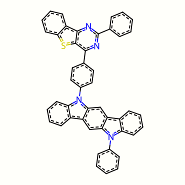 c1ccc(-c2nc(-c3ccc(-n4c5ccccc5c5cc6c(cc54)c4ccccc4n6-c4ccccc4)cc3)c3sc4ccccc4c3n2)cc1